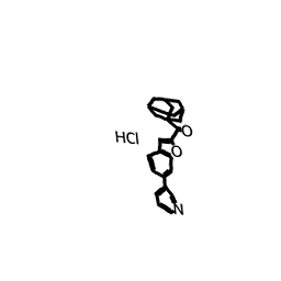 Cl.O=C(c1cc2ccc(-c3cccnc3)cc2o1)C12CC3CC(CC(C3)C1)C2